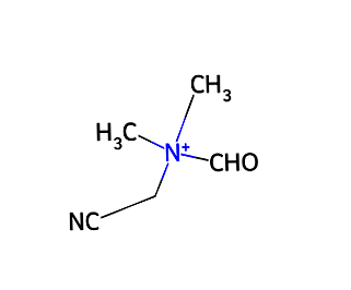 C[N+](C)(C=O)CC#N